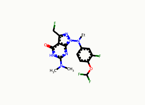 CCN(c1ccc(OC(F)F)c(F)c1)n1nc(CF)c2c(=O)[nH]c(N(C)C)nc21